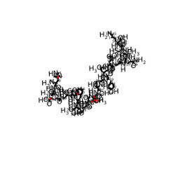 CC(C)C[C@H](NC(=O)[C@H](Cc1ccc(O)cc1)NC(=O)[C@H](CO)NC(=O)[C@H](CO)NC(=O)[C@@H](NC(=O)[C@H](CC(=O)O)NC(=O)[C@H](CO)NC(=O)[C@@H](NC(=O)[C@H](Cc1ccccc1)NC(=O)[C@@H](NC(=O)CNC(=O)[C@H](CCC(=O)O)NC(=O)C(C)(C)NC(=O)[C@@H](N)Cc1c[nH]cn1)[C@@H](C)O)[C@@H](C)O)C(C)C)C(=O)N[C@@H](CCC(=O)O)C(=O)NCC(=O)N[C@@H](CCC(N)=O)C(=O)N[C@@H](C)C(=O)N[C@@H](CS)C(=O)N[C@@H](CCCCN)C(=O)O